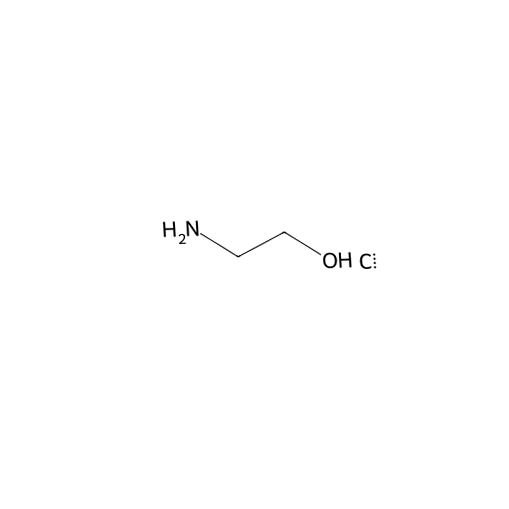 NCCO.[C]